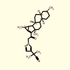 C[C@H]1CC[C@@H]2C3CC[C@]4(C)C(C(=O)Cn5cc(C(C)(C)C#N)cn5)=C5C(C4[C@@H]3CC[C@@H]2C1)[C@@H]5C